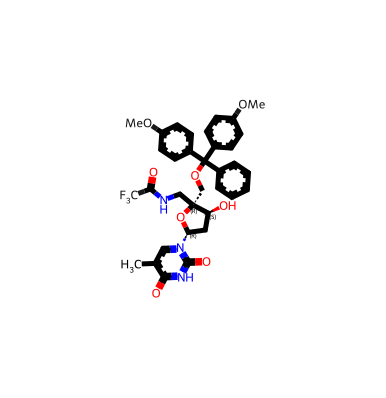 COc1ccc(C(OC[C@@]2(CNC(=O)C(F)(F)F)O[C@@H](n3cc(C)c(=O)[nH]c3=O)C[C@@H]2O)(c2ccccc2)c2ccc(OC)cc2)cc1